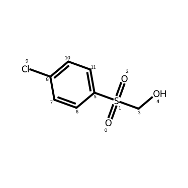 O=S(=O)(CO)c1ccc(Cl)cc1